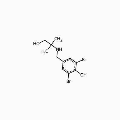 CC(C)(CO)NCc1cc(Br)c(O)c(Br)c1